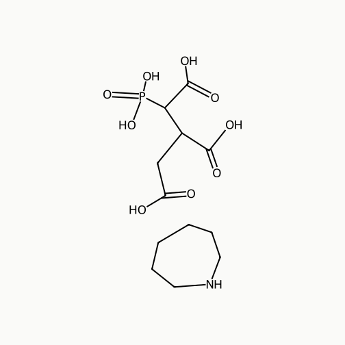 C1CCCNCC1.O=C(O)CC(C(=O)O)C(C(=O)O)P(=O)(O)O